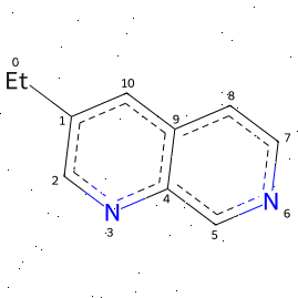 CCc1cnc2cnccc2c1